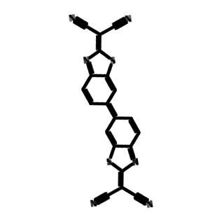 N#CC(C#N)=c1nc2cc/c(=c3/ccc4nc(=C(C#N)C#N)sc4c3)cc2s1